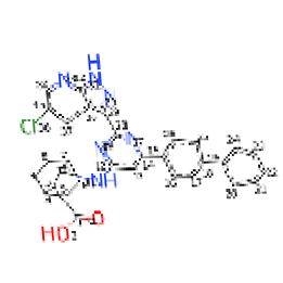 O=C(O)C1C2CCC(CC2)C1Nc1cc(-c2ccc(-c3ccccc3)cc2)nc(-c2n[nH]c3ncc(Cl)cc23)n1